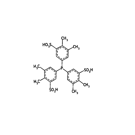 Cc1cc(P(c2cc(C)c(C)c(S(=O)(=O)O)c2)c2cc(C)c(C)c(S(=O)(=O)O)c2)cc(S(=O)(=O)O)c1C